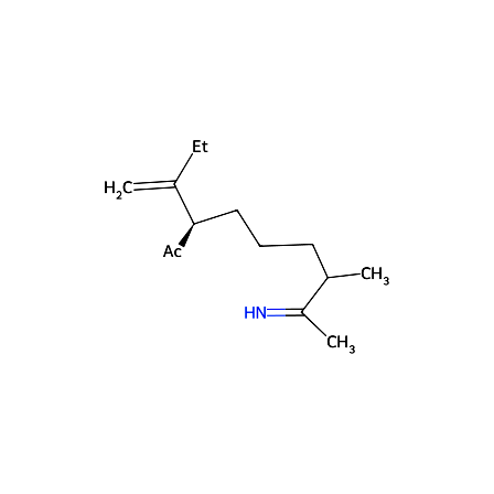 C=C(CC)[C@@H](CCCC(C)C(C)=N)C(C)=O